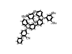 CC(C)(C)c1cc(-n2c3ccccc3c3c2ccc2c4ccc5c(c6ccccc6n5-c5ccc(-c6ccccc6)c(C#N)c5)c4n(-c4cc(C(C)(C)C)cc(C(C)(C)C)c4)c23)cc(C(C)(C)C)c1